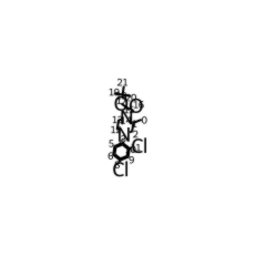 CC1CN(c2ccc(Cl)cc2Cl)CCN1C(=O)OC(C)(C)C